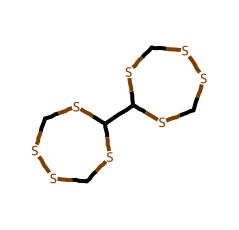 C1SSCSC(C2SCSSCS2)S1